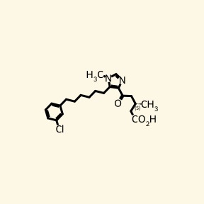 C[C@H](CC(=O)O)CC(=O)c1ncn(C)c1CCCCCCc1cccc(Cl)c1